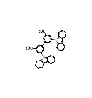 CC(C)(C)c1cc(-c2cc(-n3c4ccccc4c4ccccc43)cc(C(C)(C)C)c2)cc(-n2c3c(c4ccccc42)C=CCC3)c1